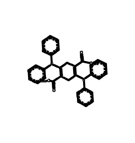 COC(=O)C1=C(N(c2ccccc2)c2ccccc2)CC(C(=O)OC)=C(N(c2ccccc2)c2ccccc2)C1